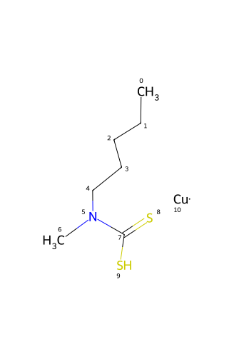 CCCCCN(C)C(=S)S.[Cu]